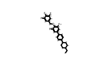 CCC1CCC(c2ccc(-c3cc(F)c(OCc4cc(F)c(F)c(F)c4)c(F)c3)cc2)CC1